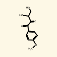 COc1ccc(C(=O)C(=O)C(O)CO)cc1